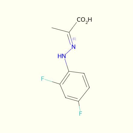 C/C(=N\Nc1ccc(F)cc1F)C(=O)O